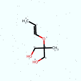 CC=COC(C)(CO)CO